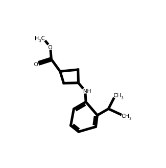 COC(=O)C1CC(Nc2ccccc2C(C)C)C1